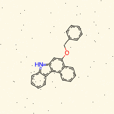 c1ccc(COc2cc3[nH]c4ccccc4c3c3ccccc23)cc1